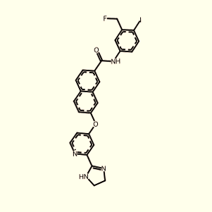 O=C(Nc1ccc(I)c(CF)c1)c1ccc2ccc(Oc3ccnc(C4=NCCN4)c3)cc2c1